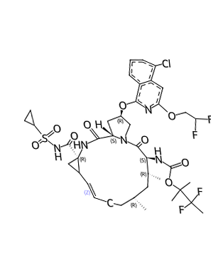 C[C@@H]1CC/C=C\C2C[C@@]2(C(=O)NS(=O)(=O)C2CC2)NC(=O)[C@@H]2C[C@@H](Oc3nc(OCC(F)F)cc4c(Cl)cccc34)CN2C(=O)[C@@H](NC(=O)OC(C)(C)C(C)(F)F)[C@H](C)C1